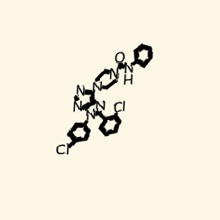 O=C(Nc1ccccc1)N1CCN(c2ncnc3c2nc(-c2ccccc2Cl)n3-c2ccc(Cl)cc2)CC1